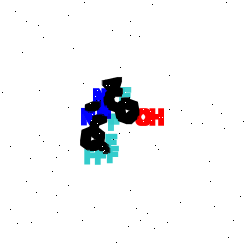 CC1(c2nc3cnc(-c4ccc(F)c(C(F)(F)F)c4)cn3c2-c2c(F)cc(O)cc2F)CC1